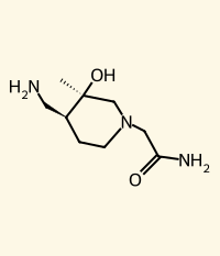 C[C@]1(O)CN(CC(N)=O)CC[C@H]1CN